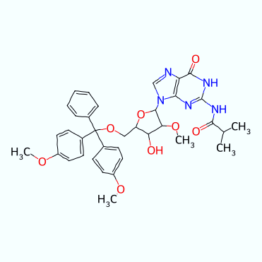 COc1ccc(C(OCC2OC(n3cnc4c(=O)[nH]c(NC(=O)C(C)C)nc43)C(OC)C2O)(c2ccccc2)c2ccc(OC)cc2)cc1